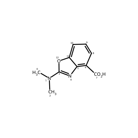 CN(C)c1nc2c(C(=O)O)cccc2o1